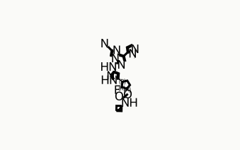 Cn1nccc1-c1cnc(Nc2cc([C@H]3CC[C@@H](OC(=O)NC45CC(C4)C5)[C@@H]3F)[nH]n2)n2cc(C#N)nc12